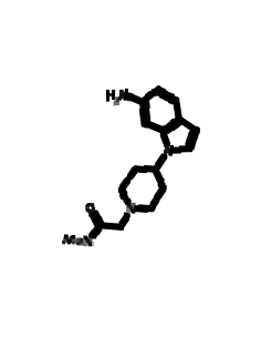 CNC(=O)CN1CCC(n2ccc3ccc(N)cc32)CC1